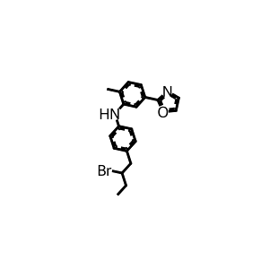 CCC(Br)Cc1ccc(Nc2cc(-c3ncco3)ccc2C)cc1